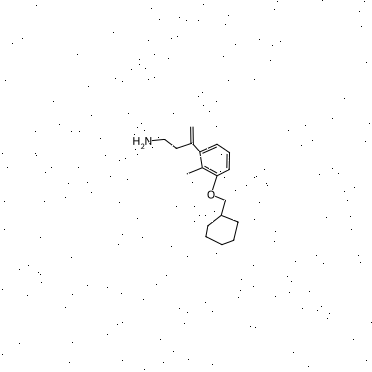 C=C(CCN)c1cccc(OCC2CCCCC2)c1C